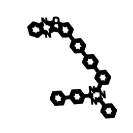 c1ccc(-c2ccc(-c3nc(-c4ccccc4)nc(-c4cccc(-c5ccc(-c6ccc(-c7ccc8oc9nc%10ccccc%10nc9c8c7)cc6)cc5)c4)n3)cc2)cc1